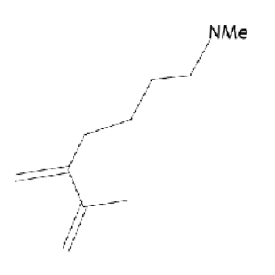 C=C(C)C(=C)CCCCNC